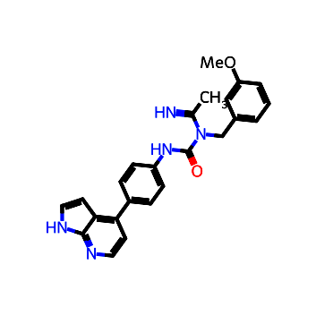 COc1cccc(CN(C(C)=N)C(=O)Nc2ccc(-c3ccnc4[nH]ccc34)cc2)c1